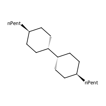 CCCCC[C@H]1CC[C@H]([C@H]2CC[C@H](CCCCC)CC2)CC1